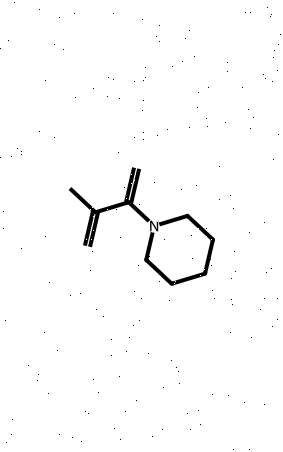 C=C(C)C(=C)N1CCCCC1